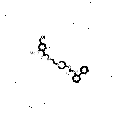 COc1cc(CO)ccc1C(=O)CNCCN1CCC(OC(=O)Nc2ccccc2-c2ccccc2)CC1